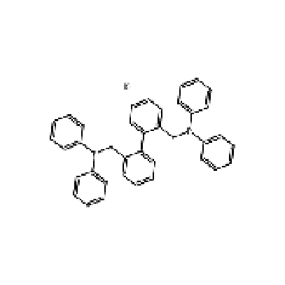 [K].c1ccc(P(Cc2ccccc2-c2ccccc2CP(c2ccccc2)c2ccccc2)c2ccccc2)cc1